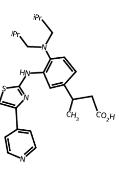 CC(C)CN(CC(C)C)c1ccc(C(C)CC(=O)O)cc1Nc1nc(-c2ccncc2)cs1